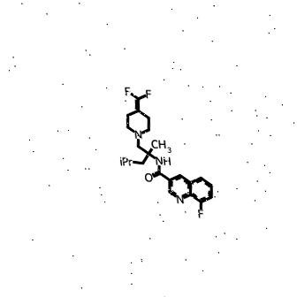 CC(C)CC(C)(CN1CCC(=C(F)F)CC1)NC(=O)c1cnc2c(F)cccc2c1